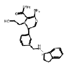 COC(=O)C1=C(N)N=CC(c2cccc(CN[C@H]3CCc4ccccc43)c2)N1CCO